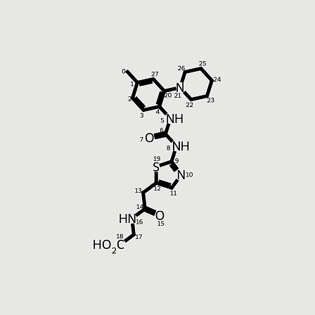 Cc1ccc(NC(=O)Nc2ncc(CC(=O)NCC(=O)O)s2)c(N2CCCCC2)c1